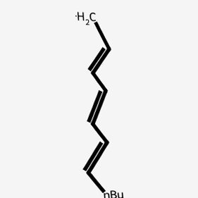 [CH2]C=CC=CC=CCCCC